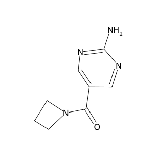 Nc1ncc(C(=O)N2CCC2)cn1